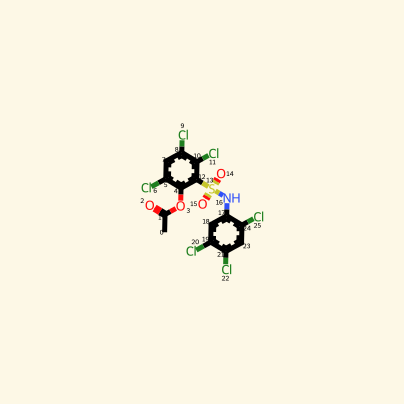 CC(=O)Oc1c(Cl)cc(Cl)c(Cl)c1S(=O)(=O)Nc1cc(Cl)c(Cl)cc1Cl